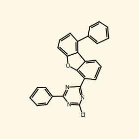 Clc1nc(-c2ccccc2)nc(-c2cccc3c2oc2cccc(-c4ccccc4)c23)n1